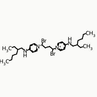 CCCCC(CC)CNc1cc[n+](C(Br)CCC(Br)[n+]2ccc(NCC(CC)CCCC)cc2)cc1